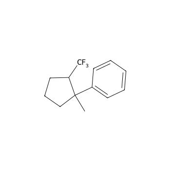 CC1(c2ccccc2)CCCC1C(F)(F)F